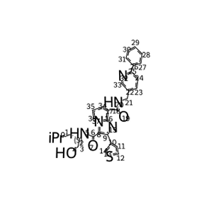 CC(C)C[C@@H](CO)NC(=O)c1c(-c2ccsc2)nc2c(C(=O)NCc3ccc(-c4ccccc4)nc3)cccn12